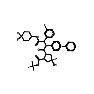 CC(C)(C)OC(=O)N1C[C@](C)(O)C[C@@H]1C(=O)N(c1ccc(-c2ccccc2)cc1)C(C(=O)NC1CCC(F)(F)CC1)c1cncc(F)c1